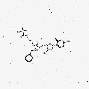 CCC(C)(C)C(=O)SCCOP(=O)(NCc1ccccc1)OC[C@@H]1O[C@H](n2ccc(N)nc2=O)CC1O